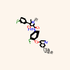 COc1ccc2c(Oc3ccc(NC(=O)c4cn(C(C)C)c(C)c(-c5ccc(F)cc5)c4=O)cc3F)ccnc2c1